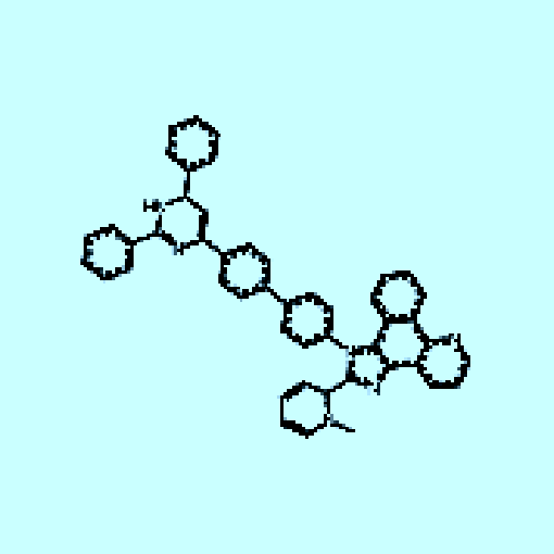 CN1C=CC=CC1c1nc2c3cccnc3c3ccccc3c2n1-c1ccc(-c2ccc(C3=CC(c4ccccc4)NC(c4ccccc4)=N3)cc2)cc1